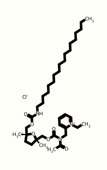 CCCCCCCCCCCCCCCCCCNC(=O)OC[C@@]1(C)CC[C@@](C)(COC(=O)N(Cc2cccc[n+]2CC)C(C)=O)O1.[Cl-]